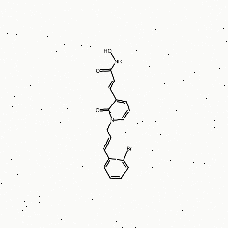 O=C(/C=C/c1cccn(C/C=C/c2ccccc2Br)c1=O)NO